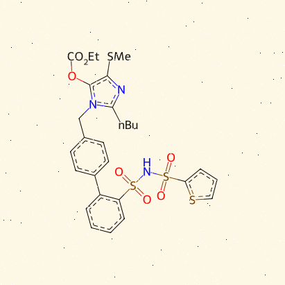 CCCCc1nc(SC)c(OC(=O)OCC)n1Cc1ccc(-c2ccccc2S(=O)(=O)NS(=O)(=O)c2cccs2)cc1